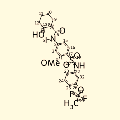 COc1cc(N(I)C(=O)[C@H]2CCCC[C@@H]2O)ccc1S(=O)(=O)Nc1cccc(OC(C)(F)F)c1